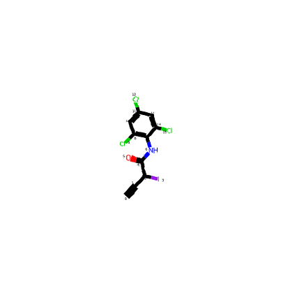 C#CC(I)C(=O)Nc1c(Cl)cc(Cl)cc1Cl